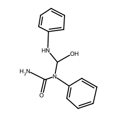 NC(=O)N(c1ccccc1)C(O)Nc1ccccc1